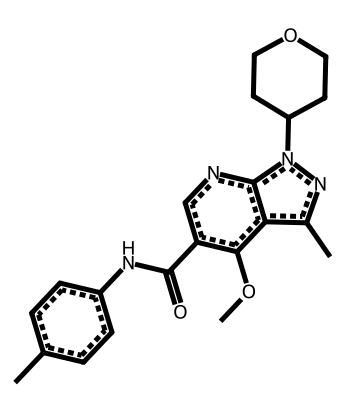 COc1c(C(=O)Nc2ccc(C)cc2)cnc2c1c(C)nn2C1CCOCC1